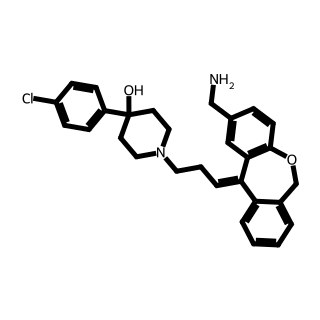 NCc1ccc2c(c1)C(=CCCN1CCC(O)(c3ccc(Cl)cc3)CC1)c1ccccc1CO2